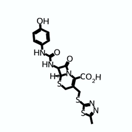 Cc1nnc(SCC2=C(C(=O)O)N3C(=O)C(NC(=O)Nc4ccc(O)cc4)[C@H]3SC2)s1